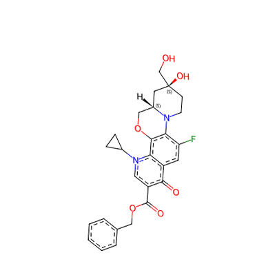 O=C(OCc1ccccc1)c1cn(C2CC2)c2c3c(c(F)cc2c1=O)N1CC[C@@](O)(CO)C[C@H]1CO3